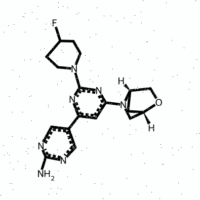 Nc1ncc(-c2cc(N3C[C@@H]4C[C@H]3CO4)nc(N3CCC(F)CC3)n2)cn1